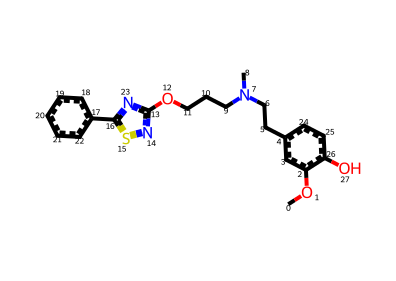 COc1cc(CCN(C)CCCOc2nsc(-c3ccccc3)n2)ccc1O